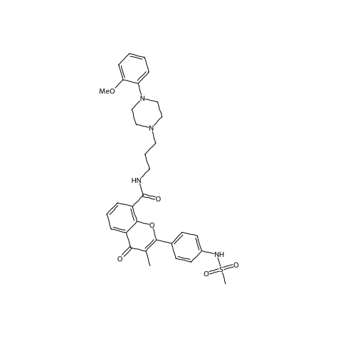 COc1ccccc1N1CCN(CCCNC(=O)c2cccc3c(=O)c(C)c(-c4ccc(NS(C)(=O)=O)cc4)oc23)CC1